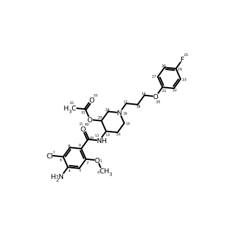 COc1cc(N)c(Cl)cc1C(=O)NC1CCN(CCCOc2ccc(F)cc2)CC1OC(C)=O